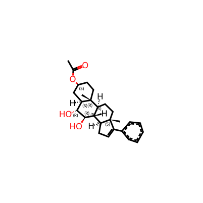 CC(=O)O[C@H]1CC[C@@]2(C)[C@H](C1)[C@@H](O)[C@H](O)[C@@H]1[C@@H]2CC[C@]2(C)C(c3ccccc3)=CC[C@@H]12